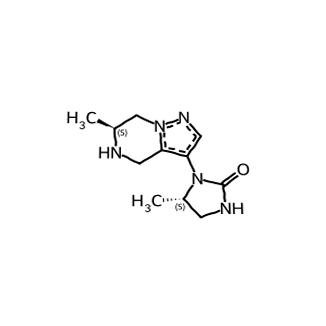 C[C@H]1Cn2ncc(N3C(=O)NC[C@@H]3C)c2CN1